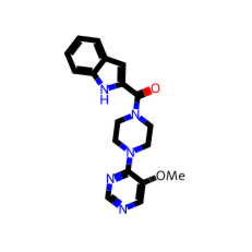 COc1cncnc1N1CCN(C(=O)c2cc3ccccc3[nH]2)CC1